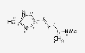 CNC(C)CC=Cc1cnc(O)nc1